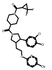 N#Cc1ccc(OCCC2CN(C(=O)C3CCN(C(=O)C4CC4(F)F)CC3)CC2c2ccc(Cl)c(Cl)c2)nc1